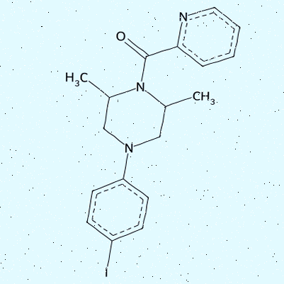 CC1CN(c2ccc(I)cc2)CC(C)N1C(=O)c1ccccn1